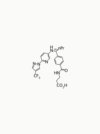 CCC[C@H](Nc1ccc(-n2cc(C(F)(F)F)cn2)nc1)c1ccc(C(=O)NCCC(=O)O)cc1